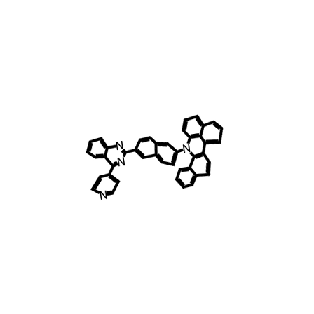 c1ccc2c3c(ccc2c1)-c1cccc2cccc(c12)N3c1ccc2cc(-c3nc(-c4ccncc4)c4ccccc4n3)ccc2c1